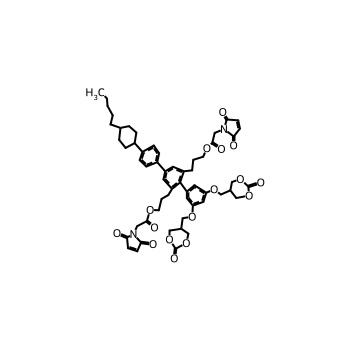 CCCCCC1CCC(c2ccc(-c3cc(CCCOC(=O)CN4C(=O)C=CC4=O)c(-c4cc(OCC5COC(=O)OC5)cc(OCC5COC(=O)OC5)c4)c(CCCOC(=O)CN4C(=O)C=CC4=O)c3)cc2)CC1